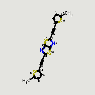 Cc1ccc(C#Cc2nc3sc(C#Cc4ccc(C)s4)nc3s2)s1